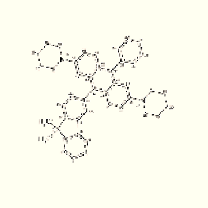 CC1(C)c2ccccc2-c2cc(-c3c4ccc(N5CCCCC5)cc4c(-c4ccccc4)c4ccc(N5CCCCC5)cc34)ccc21